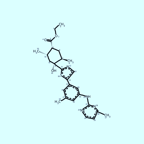 CCOC(=O)[C@@H]1C[C@@H](C)[C@@](O)(c2ncc(-c3cc(C)cc(Nc4nccc(C)n4)c3)s2)C[C@@H]1C